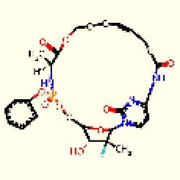 C[C@@H]1N[P@@](=O)(Oc2ccccc2)OCC2OC(n3ccc(nc3=O)NC(=O)CCC=CCCCOC1=O)[C@](C)(F)[C@@H]2O